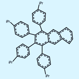 CC(C)c1ccc(-c2c(-c3ccc(C(C)C)cc3)c(-c3ccc(C(C)C)cc3)c3cc4ccccc4cc3c2-c2ccc(C(C)C)cc2)cc1